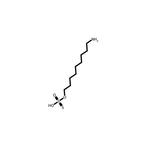 NCCCCCCCCCOS(=O)(O)=S